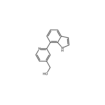 OCc1ccnc(-c2cccc3cc[nH]c23)c1